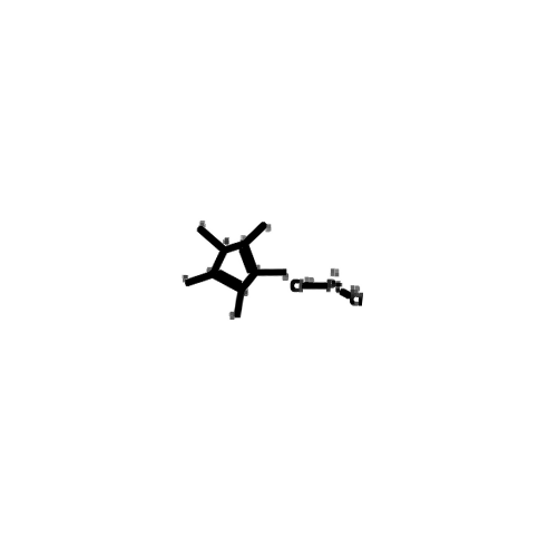 CC1=C(C)C(C)C(C)=C1C.[Cl][Pt][Cl]